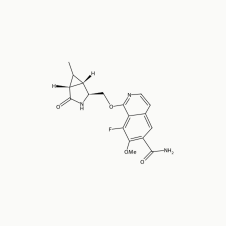 COc1c(C(N)=O)cc2ccnc(OC[C@H]3NC(=O)[C@@H]4C(C)[C@@H]43)c2c1F